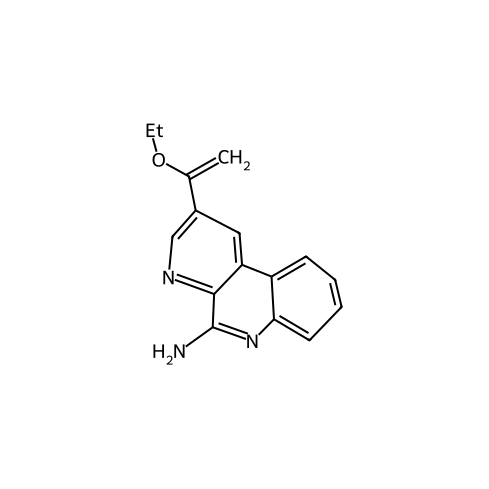 C=C(OCC)c1cnc2c(N)nc3ccccc3c2c1